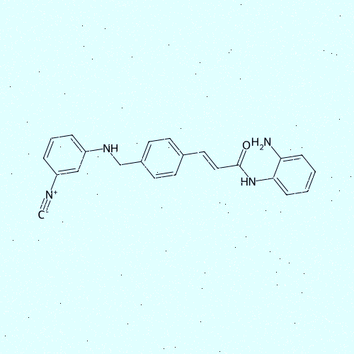 [C-]#[N+]c1cccc(NCc2ccc(/C=C/C(=O)Nc3ccccc3N)cc2)c1